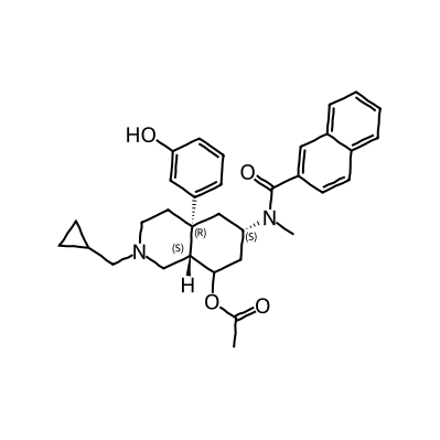 CC(=O)OC1C[C@@H](N(C)C(=O)c2ccc3ccccc3c2)C[C@]2(c3cccc(O)c3)CCN(CC3CC3)C[C@@H]12